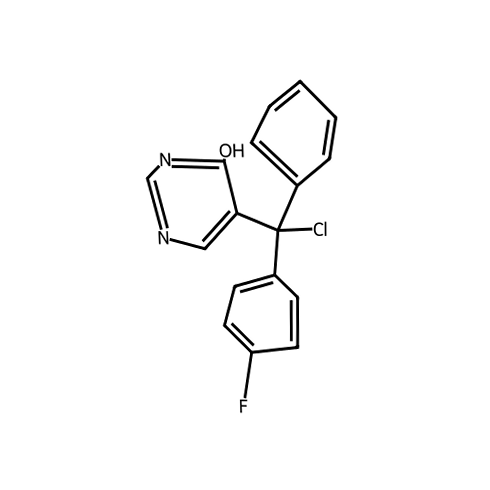 Oc1ncncc1C(Cl)(c1ccccc1)c1ccc(F)cc1